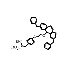 CCOC(=O)C(Cc1ccc(OCCOC2c3cc(Cc4ccccc4)ccc3C=Cc3ccc(Cc4ccccc4)cc32)cc1)OCC